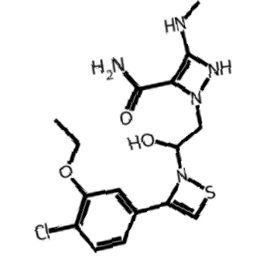 CCOc1cc(-c2csn2C(O)Cn2[nH]c(NC)c2C(N)=O)ccc1Cl